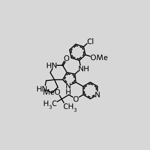 COc1c(Cl)cccc1Nc1c(-c2ccncc2OCC(C)(C)OC)[nH]c2c1C(=O)NCC21CCNC1